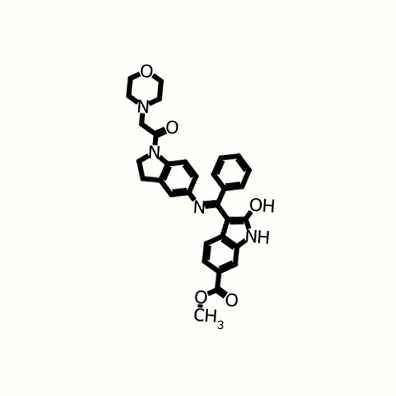 COC(=O)c1ccc2c(C(=Nc3ccc4c(c3)CCN4C(=O)CN3CCOCC3)c3ccccc3)c(O)[nH]c2c1